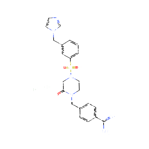 Cl.Cl.N=C(N)c1ccc(CN2CCN(S(=O)(=O)c3cccc(Cn4ccnc4)c3)CC2=O)cc1